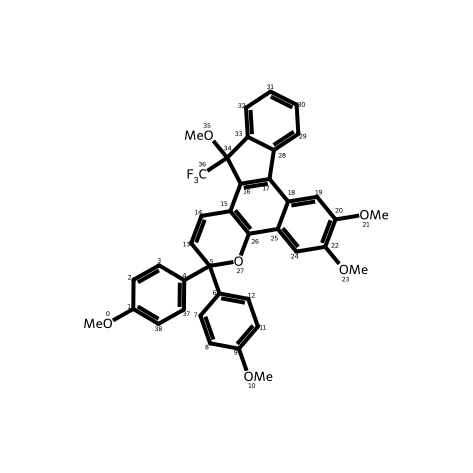 COc1ccc(C2(c3ccc(OC)cc3)C=Cc3c4c(c5cc(OC)c(OC)cc5c3O2)-c2ccccc2C4(OC)C(F)(F)F)cc1